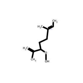 [CH2]/C=C(\C)CCC(OO)C(=C)C